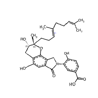 CC(C)=CCC/C(C)=C/CC[C@]1(C)Oc2c(c(O)cc3c2CN(c2cc(C(=O)O)ccc2O)C3=O)C[C@@H]1O